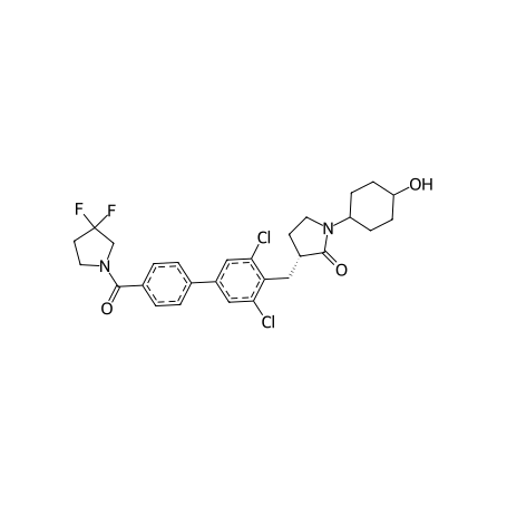 O=C(c1ccc(-c2cc(Cl)c(C[C@@H]3CCN(C4CCC(O)CC4)C3=O)c(Cl)c2)cc1)N1CCC(F)(F)C1